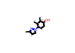 Cc1ccn(-c2ccc(O)c(C)c2C)n1